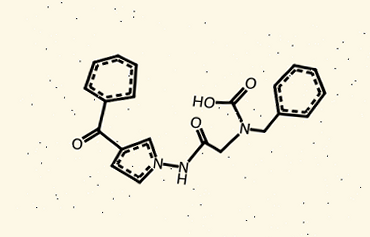 O=C(CN(Cc1ccccc1)C(=O)O)Nn1ccc(C(=O)c2ccccc2)c1